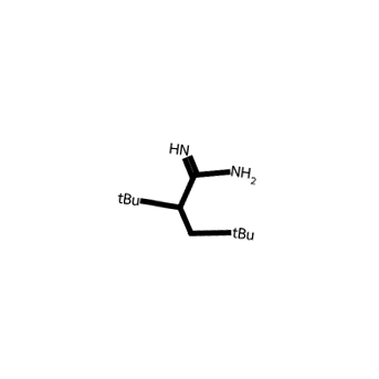 CC(C)(C)CC(C(=N)N)C(C)(C)C